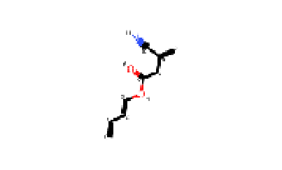 C=CC=COC(=O)CC(=C)C#N